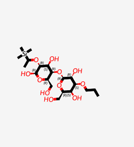 CCCO[C@H]1[C@@H](O)[C@@H](CO)O[C@H](O[C@@H]2[C@H](O)[C@@H](OC(C)[Si](C)(C)C)[C@H](O)O[C@@H]2CO)[C@@H]1O